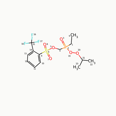 CCP(=O)(COS(=O)(=O)c1ccccc1C(F)(F)F)OOC(C)C